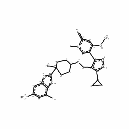 Cn1cc(-c2noc(C3CC3)c2COC2CCC(O)(c3nc4c(F)cc(C(=O)O)cc4s3)CC2)c(OC(F)(F)F)cc1=O